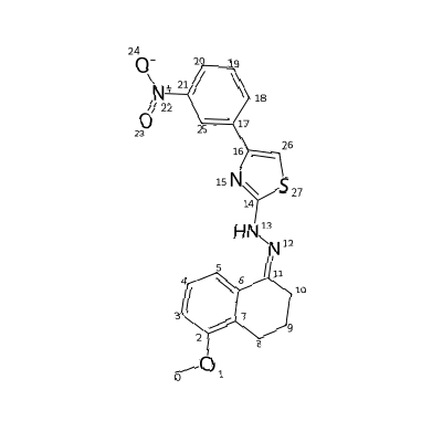 COc1cccc2c1CCC/C2=N/Nc1nc(-c2cccc([N+](=O)[O-])c2)cs1